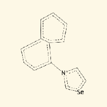 c1ccc2c(-[n+]3cc[se]c3)cccc2c1